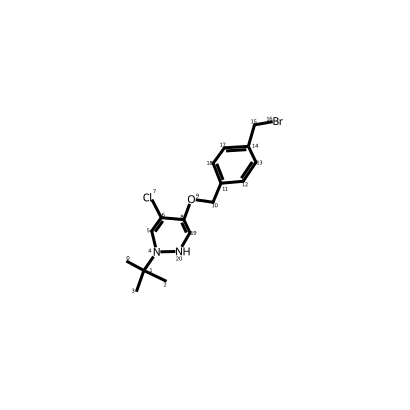 CC(C)(C)N1C=C(Cl)C(OCc2ccc(CBr)cc2)=CN1